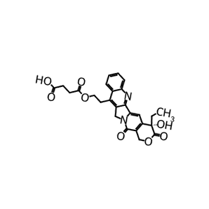 CC[C@@]1(O)C(=O)OCc2c1cc1n(c2=O)Cc2c-1nc1ccccc1c2CCOC(=O)CCC(=O)O